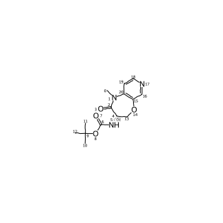 CN1C(=O)[C@@H](NC(=O)OC(C)(C)C)COc2cnccc21